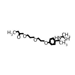 CCC(=O)COCCCOCCCOc1ccc([C@@H](C)NC(C)S)cc1